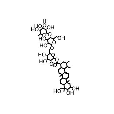 CC1CC(C(=O)OC2OC(COC3OC(CO)[C@@H](OC4OC(C)[C@H](O)C(O)(O)[C@@H]4O)C(O)[C@@H]3O)[C@@H](O)C(O)[C@@H]2O)C2CCC3(C)C(=CCC4C3CCC3C(C)(CO)C(O)C(O)CC43C)C2C1C